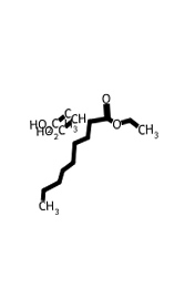 CC(=O)O.CC(=O)O.CCCCCCCCC(=O)OCC